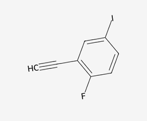 C#Cc1cc(I)ccc1F